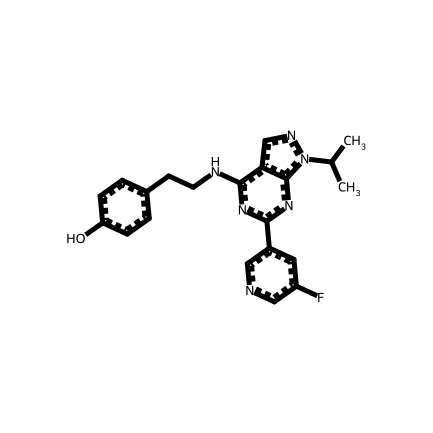 CC(C)n1ncc2c(NCCc3ccc(O)cc3)nc(-c3cncc(F)c3)nc21